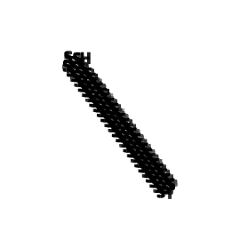 S=S(=S)(S)S(=S)(=S)S(=S)(=S)S(=S)(=S)S(=S)(=S)S(=S)(=S)S(=S)(=S)S(=S)(=S)S(=S)(=S)S(=S)(=S)S(=S)(=S)S(=S)(=S)S(=S)(=S)S(=S)(=S)S(=S)(=S)S(=S)(=S)S(=S)(=S)S(=S)(=S)S(=S)(=S)S(=S)(=S)S(=S)(=S)S(=S)(=S)S(=S)(=S)S(=S)(=S)S(=S)(=S)S(=S)(=S)I